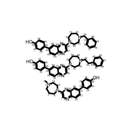 CN1CCCN(c2cnc3ccc(-c4ccc(O)cc4)cc3n2)CC1.Oc1ccc(-c2ccc3ncc(N4CCCN(CCc5ccccc5)CC4)nc3c2)cc1.Oc1ccc(-c2ccc3ncc(N4CCCN(Cc5ccccc5)CC4)nc3c2)cc1